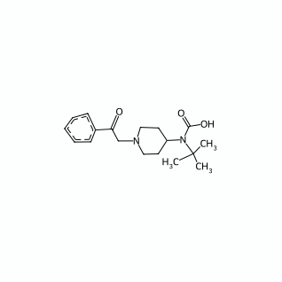 CC(C)(C)N(C(=O)O)C1CCN(CC(=O)c2ccccc2)CC1